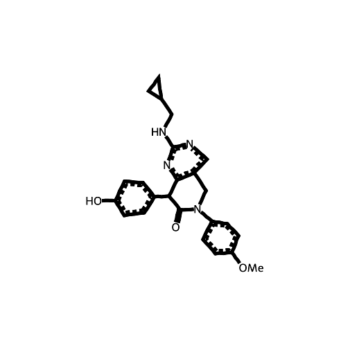 COc1ccc(N2Cc3cnc(NCC4CC4)nc3C(c3ccc(O)cc3)C2=O)cc1